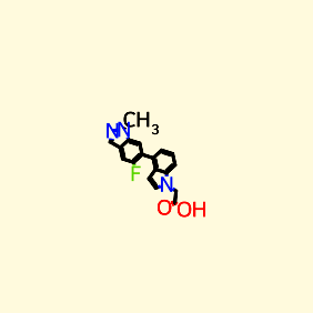 Cn1ncc2cc(F)c(-c3cccc4c3ccn4CC(=O)O)cc21